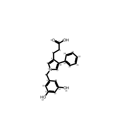 O=C(O)CCc1cn(Cc2cc(O)cc(O)c2)cc1-c1ccccc1